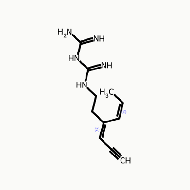 C#C/C=C(\C=C/C)CCNC(=N)NC(=N)N